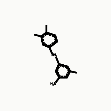 Cc1cc(C)cc(N)c1.Cc1ccc(N)cc1C